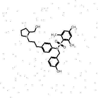 Cc1cc(C)c(S(=O)(=O)N(Cc2cccc(O)c2)c2ccc(CCCN3CCCC3CO)cc2)c(C)c1